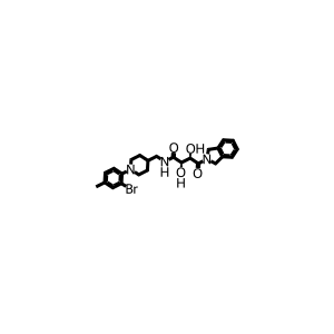 Cc1ccc(N2CCC(CNC(=O)[C@H](O)[C@@H](O)C(=O)N3Cc4ccccc4C3)CC2)c(Br)c1